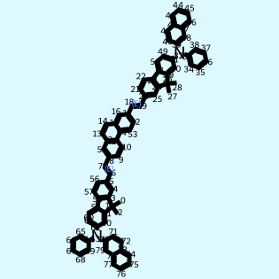 CC1(C)c2cc(/C=C/c3ccc4c(ccc5cc(/C=C/c6ccc7c(c6)C(C)(C)c6cc(N(c8ccccc8)c8ccc9ccccc9c8)ccc6-7)ccc54)c3)ccc2-c2ccc(N(c3ccccc3)c3ccc4ccccc4c3)cc21